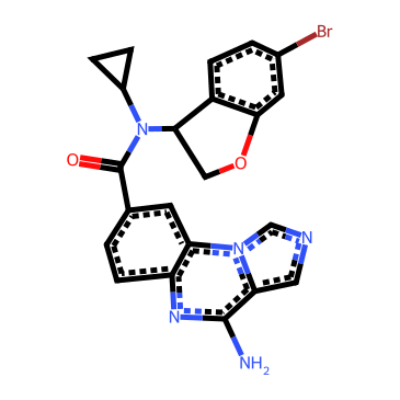 Nc1nc2ccc(C(=O)N(C3CC3)C3COc4cc(Br)ccc43)cc2n2cncc12